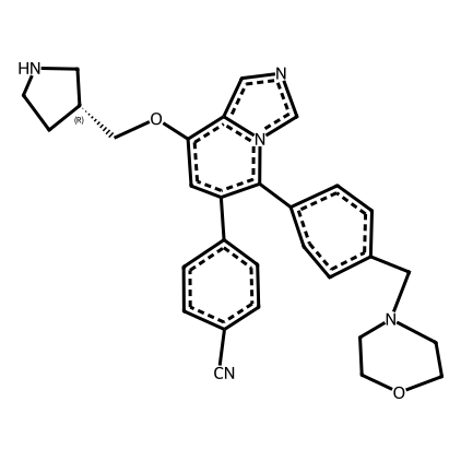 N#Cc1ccc(-c2cc(OC[C@@H]3CCNC3)c3cncn3c2-c2ccc(CN3CCOCC3)cc2)cc1